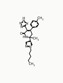 CCCCCn1cc(C2(C)CC(c3ccc(C)cc3)=C(c3nn[nH]n3)C(=O)N2)cn1